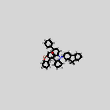 CC1(C)c2ccccc2-c2ccc(N(c3ccc(-c4ccccc4)cc3)c3ccccc3-c3cccc4oc5ccccc5c34)cc21